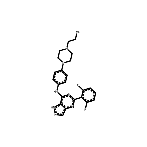 OCCN1CCN(c2ccc(Nc3nc(-c4c(F)cccc4F)nc4cn[nH]c34)cc2)CC1